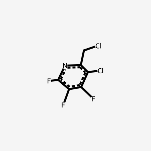 Fc1nc(CCl)c(Cl)c(F)c1F